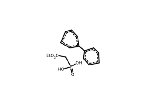 CCOC(=O)CP(=O)(O)O.c1ccc(-c2ccccc2)cc1